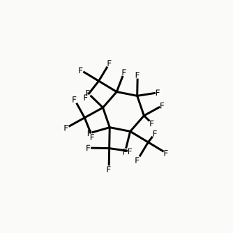 FC(F)(F)C1(F)C(F)(F)C(F)(F)C(F)(C(F)(F)F)C(F)(C(F)(F)F)C1(F)C(F)(F)F